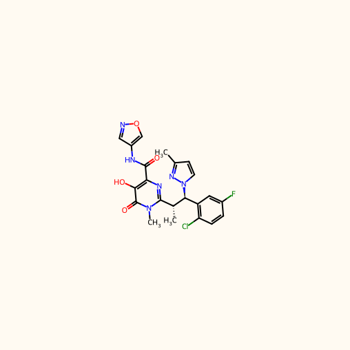 Cc1ccn([C@@H](c2cc(F)ccc2Cl)[C@H](C)c2nc(C(=O)Nc3cnoc3)c(O)c(=O)n2C)n1